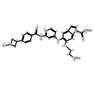 CCN1CC(c2ccc(C(=O)Nc3cc(Oc4cc5ccn(C(=O)NC)c5cc4OCCOC)ccn3)cc2)C1